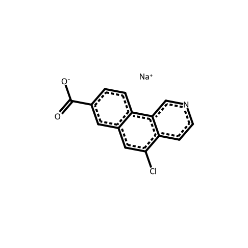 O=C([O-])c1ccc2c(c1)cc(Cl)c1ccncc12.[Na+]